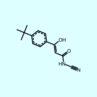 CC(C)(C)c1ccc(C(O)=CC(=O)NC#N)cc1